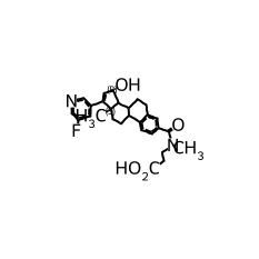 CN(CCC(=O)O)C(=O)c1ccc2c(c1)CCC1C2CC[C@]2(C)C(c3cncc(F)c3)=C[C@H](O)C12